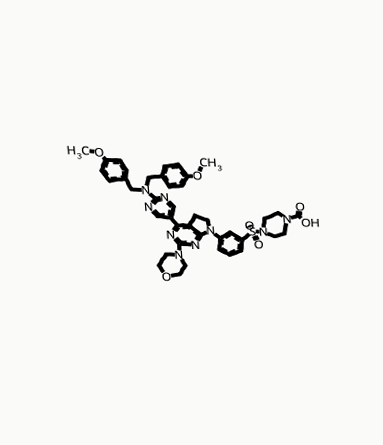 COc1ccc(CN(Cc2ccc(OC)cc2)c2ncc(-c3nc(N4CCOCC4)nc4c3CCN4c3cccc(S(=O)(=O)N4CCN(C(=O)O)CC4)c3)cn2)cc1